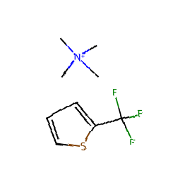 C[N+](C)(C)C.FC(F)(F)c1cccs1